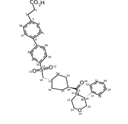 O=C(O)CCc1ccc(-c2ccc(S(=O)(=O)C[C@H]3CC[C@H](C(=O)N4CCOC[C@H]4c4ccccc4)CC3)cc2)cc1